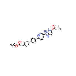 COC(=O)CC1CCC(c2ccc(-c3ccc(-c4nc5ccc(OC)nc5[nH]4)cn3)cc2)CC1